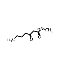 CCCCC(=O)CC(=O)NC